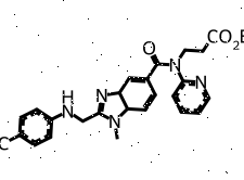 CCOC(=O)CCN(C(=O)C1=CC2N=C(CNc3ccc(C#N)cc3)N(C)C2C=C1)c1ccccn1